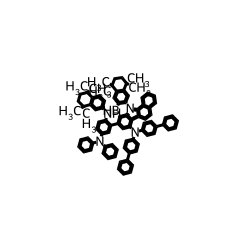 CC1(C)CCC(C)(C)c2cc(Nc3ccc(N(c4ccccc4)c4ccccc4)cc3-c3cc(N(c4ccc(-c5ccccc5)cc4)c4ccc(-c5ccccc5)cc4)c4c5ccc6ccccc6c5n5c4c3Bc3cc4c(cc3-5)C(C)(C)CCC4(C)C)ccc21